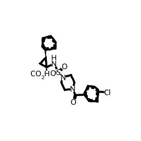 O=C(c1ccc(Cl)cc1)N1CCN(S(=O)(=O)N[C@]2(C(=O)O)C[C@H]2c2ccccc2)CC1